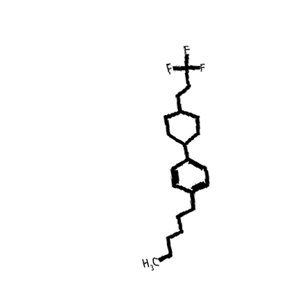 CCCCCCc1ccc(C2CCC(CCC(F)(F)F)CC2)cc1